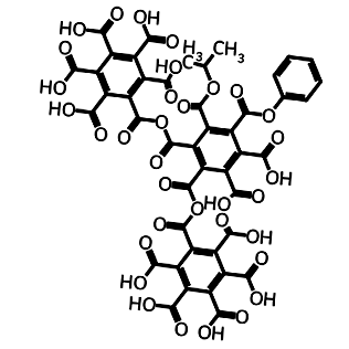 CC(C)OC(=O)c1c(C(=O)Oc2ccccc2)c(C(=O)O)c(C(=O)O)c(C(=O)OC(=O)c2c(C(=O)O)c(C(=O)O)c(C(=O)O)c(C(=O)O)c2C(=O)O)c1C(=O)OC(=O)c1c(C(=O)O)c(C(=O)O)c(C(=O)O)c(C(=O)O)c1C(=O)O